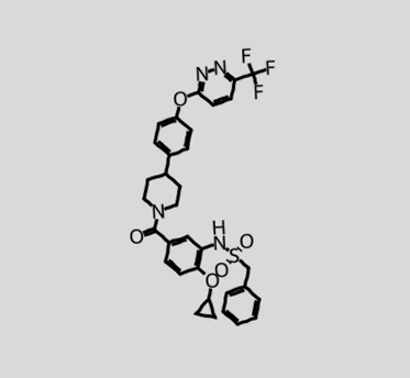 O=C(c1ccc(OC2CC2)c(NS(=O)(=O)Cc2ccccc2)c1)N1CCC(c2ccc(Oc3ccc(C(F)(F)F)nn3)cc2)CC1